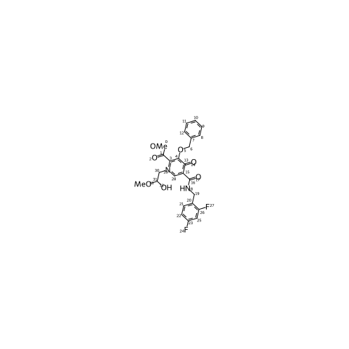 COC(=O)c1c(OCc2ccccc2)c(=O)c(C(=O)NCc2ccc(F)cc2F)cn1CC(O)OC